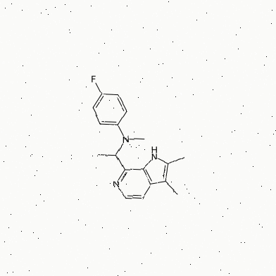 Cc1[nH]c2c(C(C)N(C)c3ccc(F)cc3)nccc2c1C